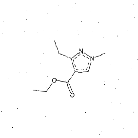 CCOC(=O)c1cn(C)nc1CC